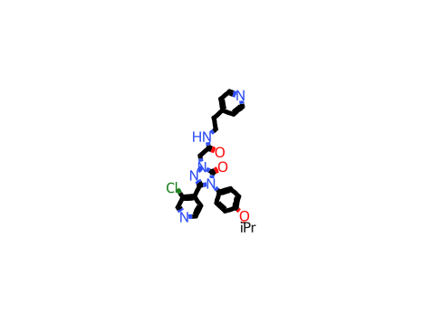 CC(C)Oc1ccc(-n2c(-c3ccncc3Cl)nn(CC(=O)NCCc3ccncc3)c2=O)cc1